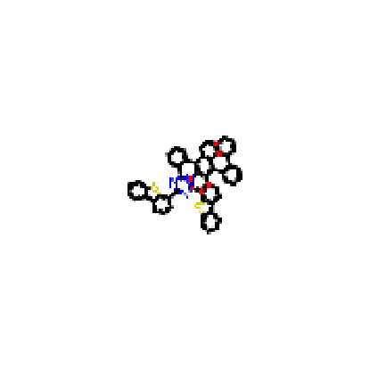 c1ccc(-c2ccccc2-c2c3ccccc3c(-c3ccccc3-c3nc(-c4cccc5c4sc4ccccc45)nc(-c4cccc5c4sc4ccccc45)n3)c3ccccc23)cc1